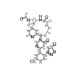 CC(=O)N1CC2(CNC(=O)[C@H](C)CCC[C@H](n3cnc(-c4cc(Cl)ccc4-n4cc(Cl)nn4)cc3=O)c3cc2ccn3)C1